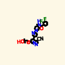 CC(C)(O)COc1cc(-c2ccc(N3CCC(C)(NC(=O)c4cccc(F)c4F)CC3)nc2)c2c(C#N)cnn2c1